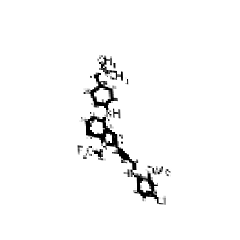 COc1cc(Cl)ccc1NCC#Cc1cc2c(NC3CCC(CN(C)C)CC3)cccc2n1CC(F)(F)F